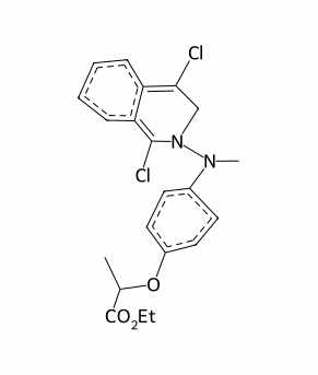 CCOC(=O)C(C)Oc1ccc(N(C)N2CC(Cl)=c3ccccc3=C2Cl)cc1